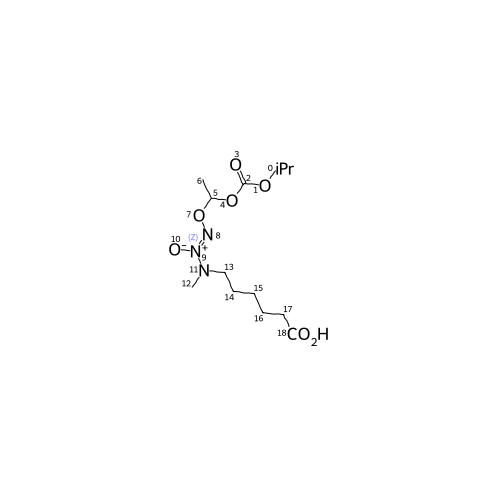 CC(C)OC(=O)OC(C)O/N=[N+](\[O-])N(C)CCCCCC(=O)O